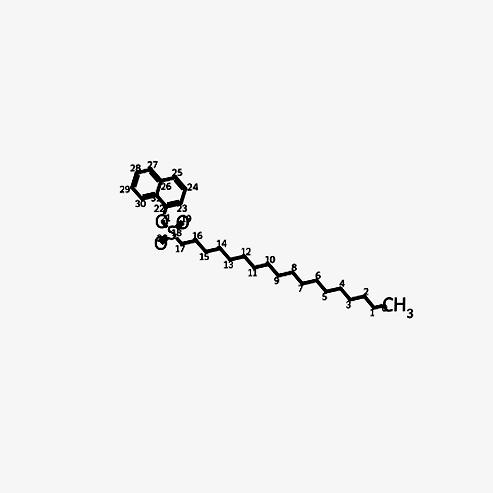 CCCCCCCCCCCCCCCCCCS(=O)(=O)Oc1cccc2ccccc12